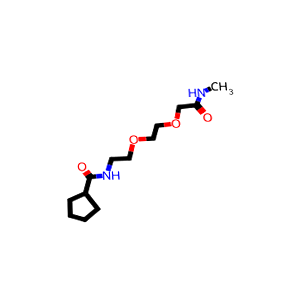 CNC(=O)COCCOCCNC(=O)C1CCCC1